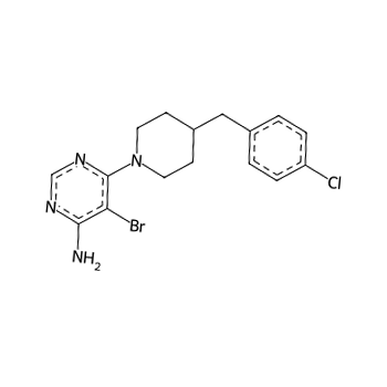 Nc1ncnc(N2CCC(Cc3ccc(Cl)cc3)CC2)c1Br